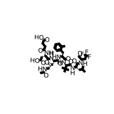 CC(=O)NCSC[C@H](NC(=O)[C@H](CC(=O)O)NC(=O)CCC(=O)O)C(=O)N[C@@H](Cc1ccccc1C)C(=O)N[C@H](C(=O)N[C@@H](CC(C)C)C(=O)NC(C=O)CC(F)(F)F)C(C)(C)C